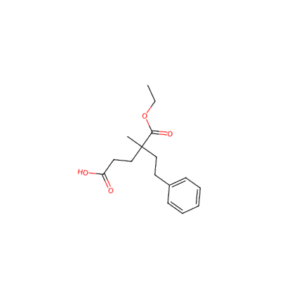 CCOC(=O)C(C)(CCC(=O)O)CCc1ccccc1